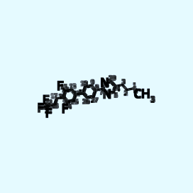 CCCCc1cnc(-c2ccc(-c3cc(F)c(/C=C/C(F)(F)F)c(F)c3)cc2)nc1